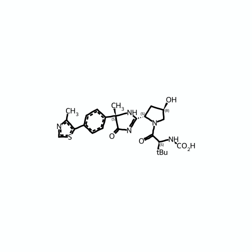 Cc1ncsc1-c1ccc([C@]2(C)NC([C@@H]3C[C@@H](O)CN3C(=O)[C@@H](NC(=O)O)C(C)(C)C)=NC2=O)cc1